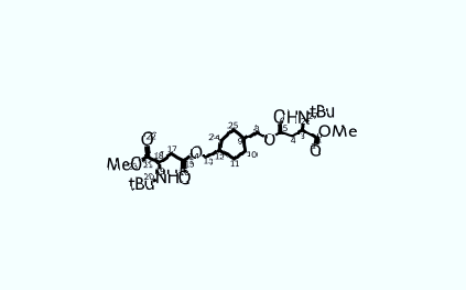 COC(=O)C(CC(=O)OCC1CCC(COC(=O)CC(NC(C)(C)C)C(=O)OC)CC1)NC(C)(C)C